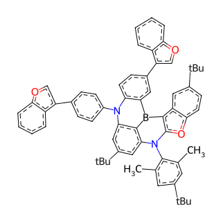 Cc1cc(C(C)(C)C)cc(C)c1N1c2cc(C(C)(C)C)cc3c2B(c2cc(-c4coc5ccccc45)ccc2N3c2ccc(-c3coc4ccccc34)cc2)c2c1oc1ccc(C(C)(C)C)cc21